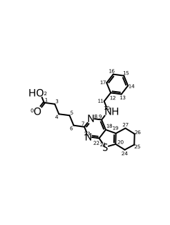 O=C(O)CCCCc1nc(NCc2ccccc2)c2c3c(sc2n1)CCCC3